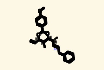 C=C[C@H]1OC(c2ccc(OC)cc2)O[C@H]([C@H](C)/C=C/Cc2ccccc2)[C@H]1C